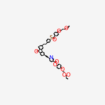 C=COCCCOc1ccc(C(=O)Sc2ccc(CCc3ccc4c(c3)-c3cc(C#Cc5ccc(C(=O)Oc6ccc(OCCOC(=O)C=C)cc6)cn5)ccc3C4=O)cc2)cc1